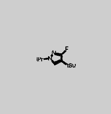 CC(C)n1cc(C(C)(C)C)c(F)n1